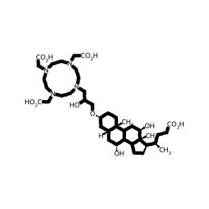 C[C@H](CCC(=O)O)[C@H]1CCC2C3C(C[C@@H](O)[C@@]21C)[C@@]1(C)CC[C@@H](OCC(O)CN2CCN(CC(=O)O)CCN(CC(=O)O)CCN(CC(=O)O)CC2)C[C@H]1C[C@H]3O